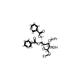 CCCO[C@H]1[C@@H]([C@@H](COC(=O)c2cccnc2)OC(=O)c2cccnc2)OC(OCC)[C@@H]1O